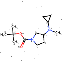 CN(C1CC1)C1CCN(C(=O)OC(C)(C)C)C1